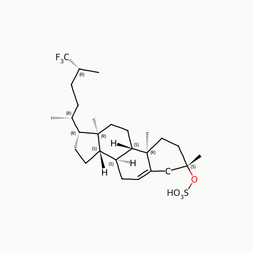 C[C@H](CC[C@@H](C)C(F)(F)F)[C@H]1CC[C@H]2[C@@H]3CC=C4C[C@@](C)(OS(=O)(=O)O)CC[C@]4(C)[C@H]3CC[C@]12C